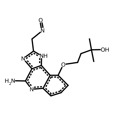 CC(C)(O)CCOc1cccc2nc(N)c3nc(CN=O)[nH]c3c12